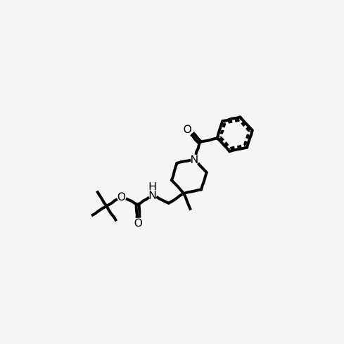 CC1(CNC(=O)OC(C)(C)C)CCN(C(=O)c2ccccc2)CC1